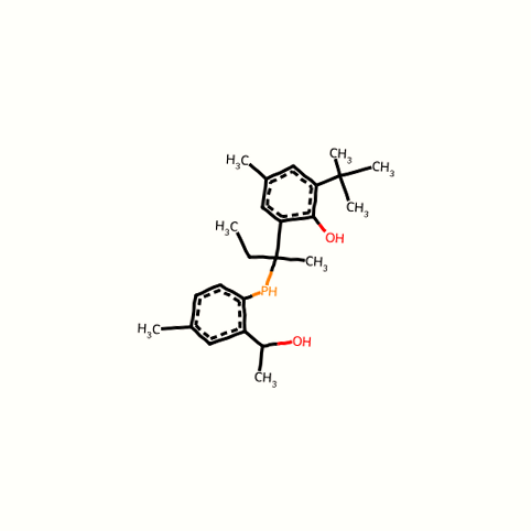 CCC(C)(Pc1ccc(C)cc1C(C)O)c1cc(C)cc(C(C)(C)C)c1O